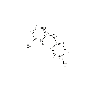 [CH2]c1cccc(Oc2ccc(Br)cc2)n1